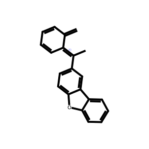 C=c1cccc/c1=C(/C)c1ccc2oc3ccccc3c2c1